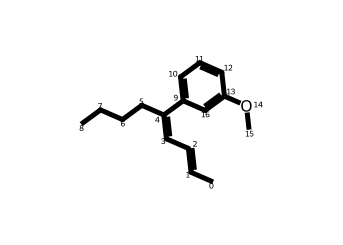 C/C=C/C=C(/CCCC)c1cccc(OC)c1